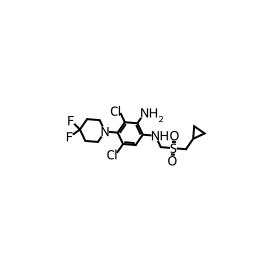 Nc1c(NCS(=O)(=O)CC2CC2)cc(Cl)c(N2CCC(F)(F)CC2)c1Cl